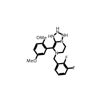 COc1ccc(OC)c(C2=C3NNNN3CCN2Cc2cccc(F)c2F)c1